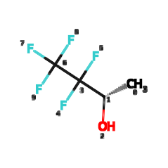 C[C@H](O)C(F)(F)C(F)(F)F